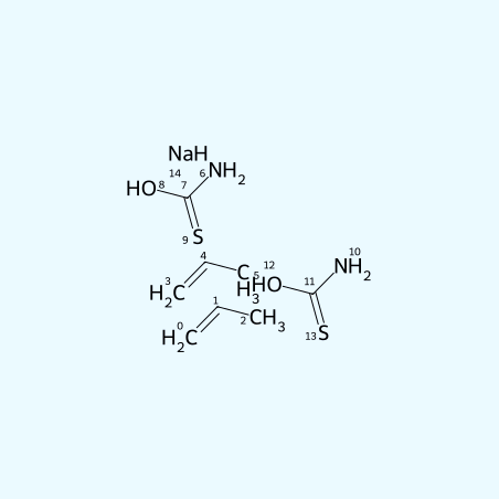 C=CC.C=CC.NC(O)=S.NC(O)=S.[NaH]